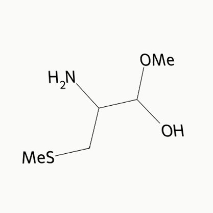 COC(O)C(N)CSC